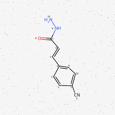 N#Cc1ccc(C=CC(=O)NN)cc1